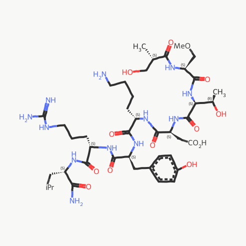 COC[C@H](NC(=O)[C@@H](C)CO)C(=O)N[C@H](C(=O)N[C@@H](CC(=O)O)C(=O)N[C@@H](CCCCN)C(=O)N[C@@H](Cc1ccc(O)cc1)C(=O)N[C@@H](CCCNC(=N)N)C(=O)N[C@@H](CC(C)C)C(N)=O)[C@@H](C)O